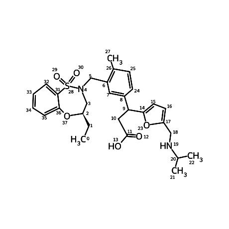 CC[C@@H]1CN(Cc2cc(C(CC(=O)O)c3ccc(CNC(C)C)o3)ccc2C)S(=O)(=O)c2ccccc2O1